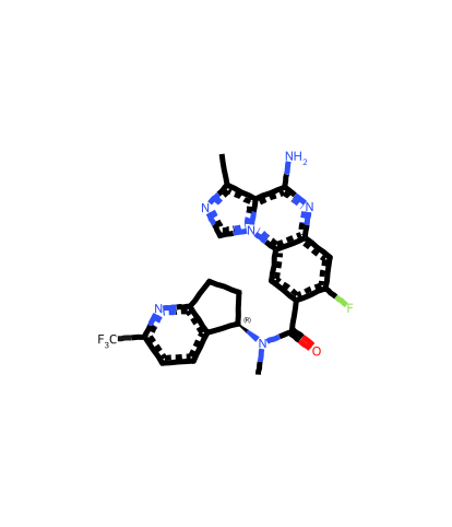 Cc1ncn2c1c(N)nc1cc(F)c(C(=O)N(C)[C@@H]3CCc4nc(C(F)(F)F)ccc43)cc12